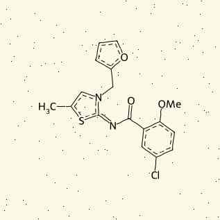 COc1ccc(Cl)cc1C(=O)N=c1sc(C)cn1Cc1ccco1